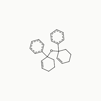 C1=CC(OC2(c3ccccc3)C=CCCC2)(c2ccccc2)CCC1